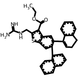 CCOC(=O)c1c(CNC(=N)N)sc2cc(-c3cccc4ccccc34)c(C3=CCCc4ccccc43)cc12